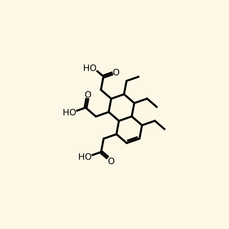 CCC1C=CC(CC(=O)O)C2C(CC(=O)O)C(CC(=O)O)C(CC)C(CC)C12